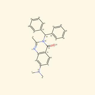 Cc1nc2cc(N(C)C)ccc2c(=O)n1C(c1ccccc1)c1ccccc1